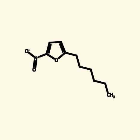 CCCCCCc1ccc([N+](=O)[O-])o1